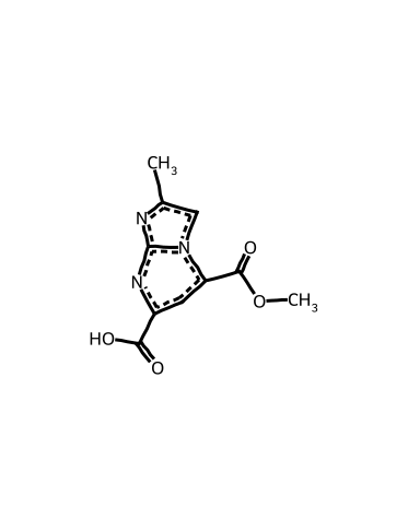 COC(=O)c1cc(C(=O)O)nc2nc(C)cn12